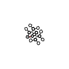 CCCCc1ccc2c(N(c3cc(C4CCCCC4)cc(C4CCCCC4)c3)c3cc(C4CCCCC4)cc(C4CCCCC4)c3)c3ccccc3c(N(c3cc(C4CCCCC4)cc(C4CCCCC4)c3)c3cc(C4CCCCC4)cc(C4CCCCC4)c3)c2c1